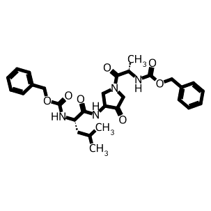 CC(C)C[C@H](NC(=O)OCc1ccccc1)C(=O)NC1CN(C(=O)[C@H](C)NC(=O)OCc2ccccc2)CC1=O